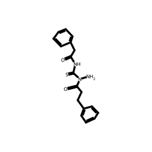 NN(C(=O)CCc1ccccc1)C(=S)NC(=O)Cc1ccccc1